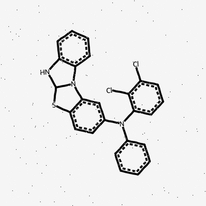 Clc1cccc(N(c2ccccc2)c2ccc3c(c2)N2c4ccccc4NC2S3)c1Cl